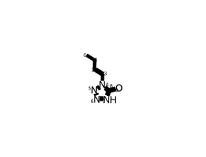 CCC=Cn1nn[nH]c1=O